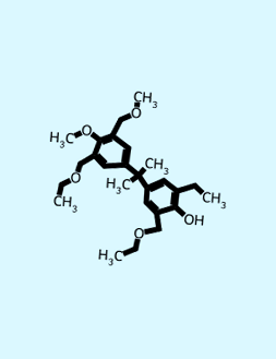 CCOCc1cc(C(C)(C)c2cc(COC)c(OC)c(COCC)c2)cc(CC)c1O